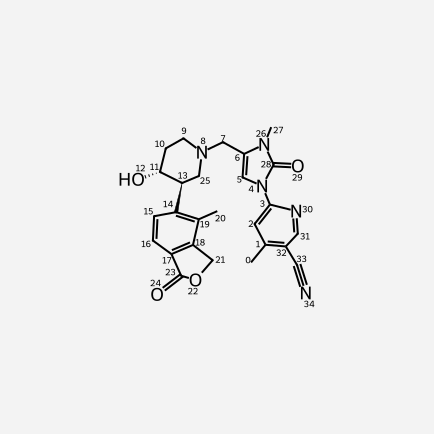 Cc1cc(-n2cc(CN3CC[C@@H](O)[C@H](c4ccc5c(c4C)COC5=O)C3)n(C)c2=O)ncc1C#N